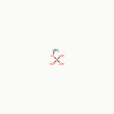 O[Si](O)(O)[O][AlH2]